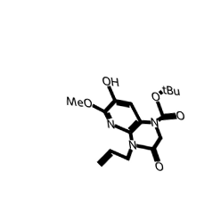 C=CCN1C(=O)CN(C(=O)OC(C)(C)C)c2cc(O)c(OC)nc21